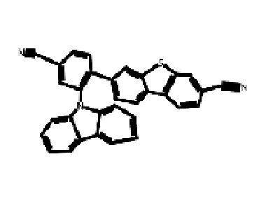 N#Cc1ccc(-c2ccc3c(c2)sc2cc(C#N)ccc23)c(-n2c3ccccc3c3ccccc32)c1